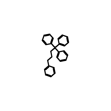 c1ccc(CCC[B-](c2ccccc2)(c2ccccc2)c2ccccc2)cc1